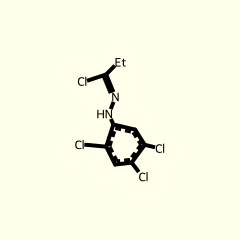 CC/C(Cl)=N/Nc1cc(Cl)c(Cl)cc1Cl